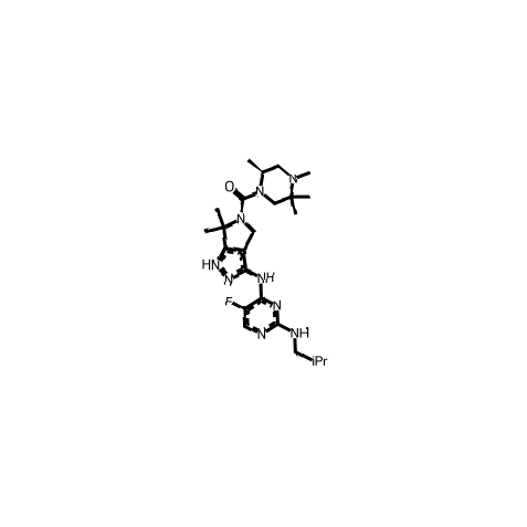 CC(C)CNc1ncc(F)c(Nc2n[nH]c3c2CN(C(=O)N2CC(C)(C)N(C)C[C@@H]2C)C3(C)C)n1